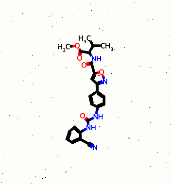 COC(=O)C(NC(=O)c1cc(-c2ccc(NC(=O)Nc3ccccc3C#N)cc2)no1)C(C)C